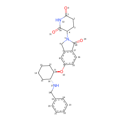 O=C1CCC(N2Cc3cc(O[C@@H]4CCCC[C@H]4NCc4ccccc4)ccc3C2=O)C(=O)N1